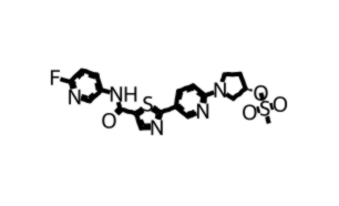 CS(=O)(=O)O[C@H]1CCN(c2ccc(-c3ncc(C(=O)Nc4ccc(F)nc4)s3)cn2)C1